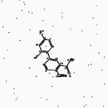 COc1ccc(-c2ccc(F)cc2F)cc1C(=O)C(C)C